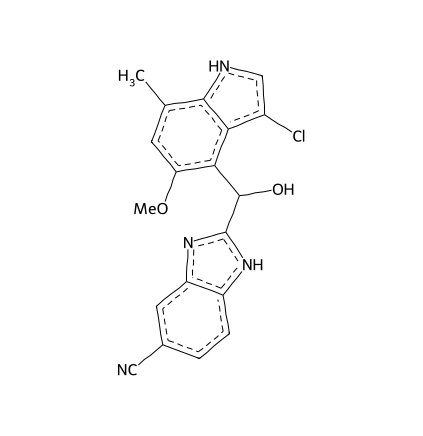 COc1cc(C)c2[nH]cc(Cl)c2c1C(O)c1nc2cc(C#N)ccc2[nH]1